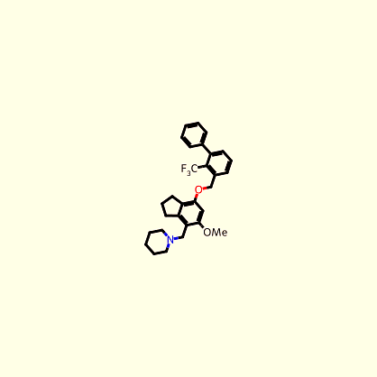 COc1cc(OCc2cccc(-c3ccccc3)c2C(F)(F)F)c2c(c1CN1CCCCC1)CCC2